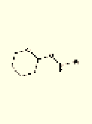 CC(C)NOC1CCCCO1